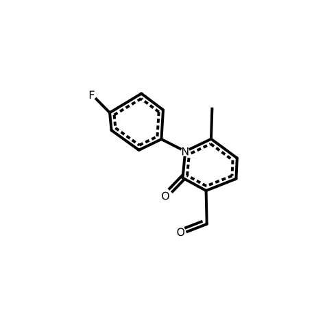 Cc1ccc(C=O)c(=O)n1-c1ccc(F)cc1